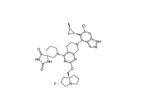 C[C@@H]1C[C@@H]1c1c(Cl)cc2[nH]ncc2c1N1CCc2c(nc(OC[C@@]34CCCN3C[C@H](F)C4)nc2N2CCC[C@]3(C2)NC(=O)NC3=O)C1